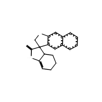 O=C1NC2=CCCCC2C12COc1cc3ccccc3cc12